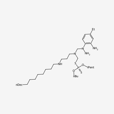 CCCCCCCCCCCCCCCCCCNCCCN(CSP(=S)(OCCCC)OC(C)CCC)CN(N)c1ccc(CC)cc1N